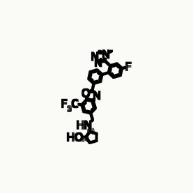 Cn1cnnc1-c1cc(F)ccc1-c1cccc(-c2nc3cc(CN[C@H]4CCC[C@H]4O)cc(C(F)(F)F)c3o2)c1